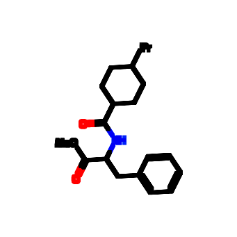 COC(=O)C(Cc1ccccc1)NC(=O)C1CCC(C(C)C)CC1